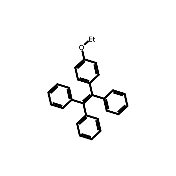 CCOc1ccc(C(=C(c2ccccc2)c2ccccc2)c2ccccc2)cc1